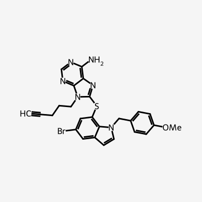 C#CCCCn1c(Sc2cc(Br)cc3ccn(Cc4ccc(OC)cc4)c23)nc2c(N)ncnc21